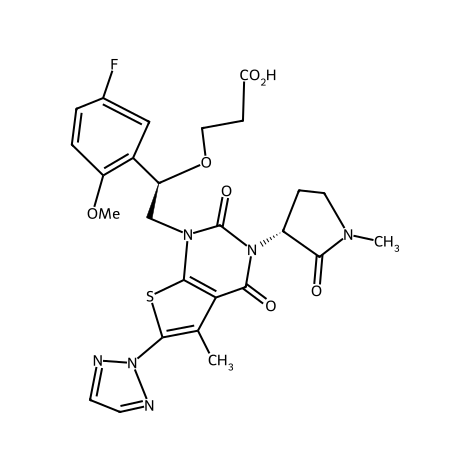 COc1ccc(F)cc1[C@H](Cn1c(=O)n([C@@H]2CCN(C)C2=O)c(=O)c2c(C)c(-n3nccn3)sc21)OCCC(=O)O